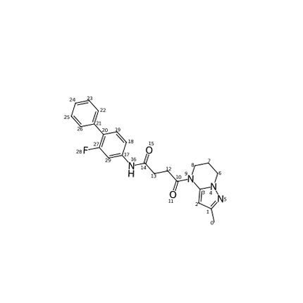 Cc1cc2n(n1)CCCN2C(=O)CCC(=O)Nc1ccc(-c2ccccc2)c(F)c1